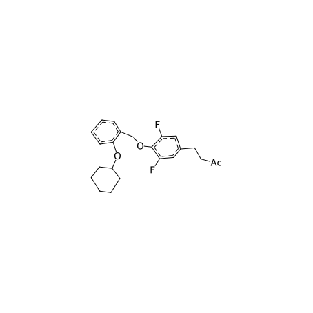 CC(=O)CCc1cc(F)c(OCc2ccccc2OC2CCCCC2)c(F)c1